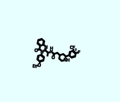 CCOc1ccc(-n2c(C(C)NC(=O)CC3CCNC(c4ccc(F)c(C(F)(F)F)c4)C3)nc3ccccc3c2=O)cc1